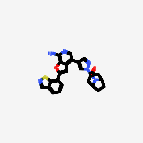 Nc1ncc(-c2cnn(C3CC4CCC(C3)N4C=O)c2)c2cc(-c3cccc4cnsc34)oc12